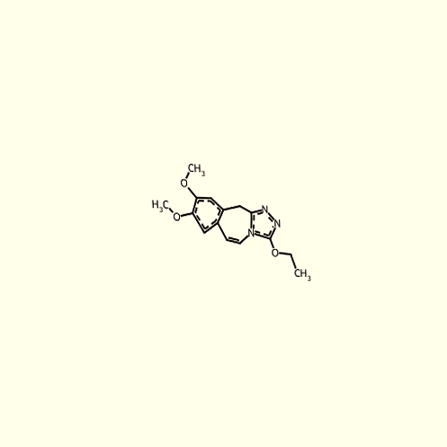 CCOc1nnc2n1C=Cc1cc(OC)c(OC)cc1C2